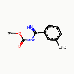 CC(C)(C)OC(=O)NC(=N)c1cccc(C=O)c1